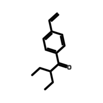 C=Cc1ccc(C(=O)C(CC)CC)cc1